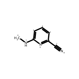 CNc1cccc(C#N)n1